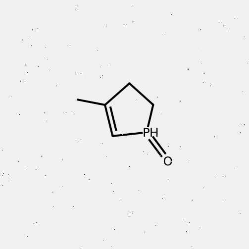 CC1=C[PH](=O)CC1